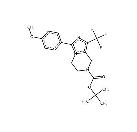 COc1ccc(-c2nc(C(F)(F)F)c3n2CCN(C(=O)OC(C)(C)C)C3)cc1